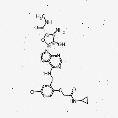 CNC(=O)[C@H]1O[C@@H](n2cnc3c(NCc4cc(Cl)ccc4OCC(=O)NC4CC4)ncnc32)[C@H](O)[C@@H]1N